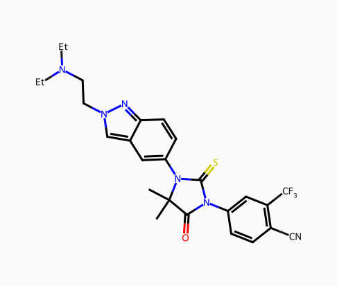 CCN(CC)CCn1cc2cc(N3C(=S)N(c4ccc(C#N)c(C(F)(F)F)c4)C(=O)C3(C)C)ccc2n1